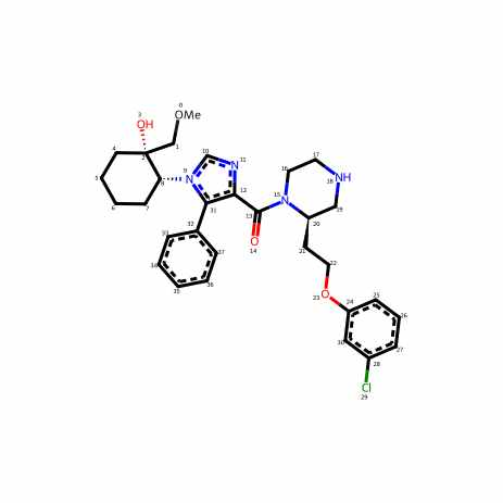 COC[C@]1(O)CCCC[C@H]1n1cnc(C(=O)N2CCNC[C@H]2CCOc2cccc(Cl)c2)c1-c1ccccc1